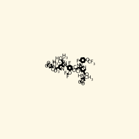 CC1(NC(=O)c2cnc3c(c2)c(C(C)(C)O)nn3-c2cc(OC(F)F)c(OC(C)(C)c3nn(-c4cc(OC(F)(F)F)ccc4F)c4ncc(C(=O)NC5(C)CS(=O)(=O)C5)cc34)cc2F)CS(=O)(=O)C1